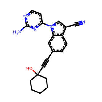 N#Cc1cn(-c2ccnc(N)n2)c2cc(C#CC3(O)CCCCC3)ccc12